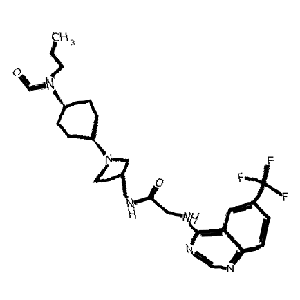 CCCN(C=O)[C@H]1CC[C@@H](N2CC(NC(=O)CNc3ncnc4ccc(C(F)(F)F)cc34)C2)CC1